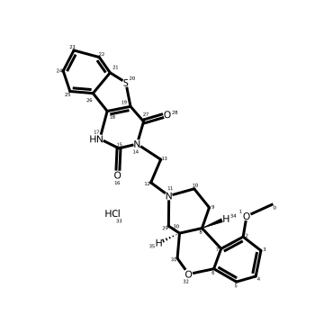 COc1cccc2c1[C@H]1CCN(CCn3c(=O)[nH]c4c(sc5ccccc54)c3=O)C[C@@H]1CO2.Cl